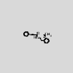 COc1ccccc1CCNC(=O)C#Cc1ccccc1